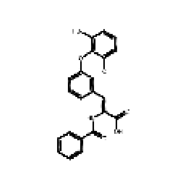 Nc1cccc(Cl)c1Oc1cccc(/C=C(\NC(=O)c2ccccc2)C(=O)O)c1